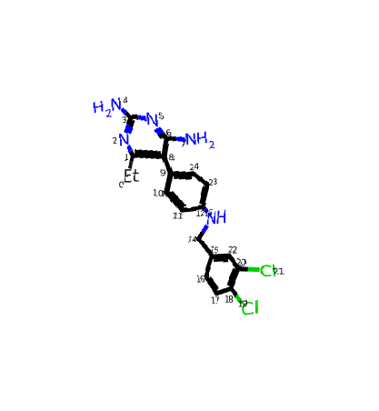 CCc1nc(N)nc(N)c1-c1ccc(NCc2ccc(Cl)c(Cl)c2)cc1